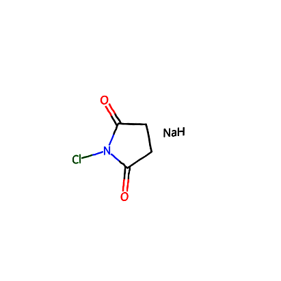 O=C1CCC(=O)N1Cl.[NaH]